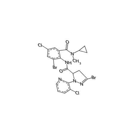 CN(C(=O)c1cc(Cl)cc(Br)c1NC(=O)C1CC(Br)=NN1c1ncccc1Cl)C1CC1